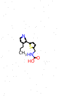 CCCc1ccncc1-c1ccc(CNC(=O)O)s1